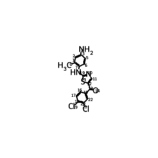 Cc1cc(N)ccc1Nc1ncc(C(=O)c2ccc(Cl)c(Cl)c2)s1